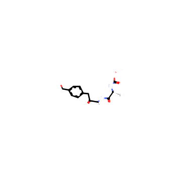 CC(C)[C@H](NC(=O)OC(C)(C)C)C(=O)N[C@@H](C)C(=O)Cc1ccc(CO)cc1